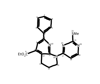 CCOC(=O)c1cc(-c2ccccc2)nc2c1CCCN2c1ccnc(SC)n1